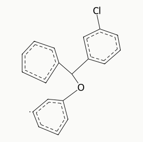 Clc1cccc(C(Oc2c[c]ccc2)c2ccccc2)c1